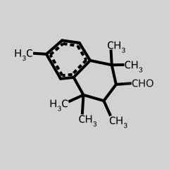 Cc1ccc2c(c1)C(C)(C)C(C)C(C=O)C2(C)C